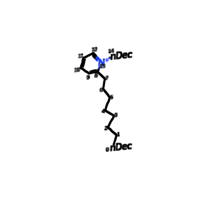 CCCCCCCCCCCCCCCCCc1cccc[n+]1CCCCCCCCCC